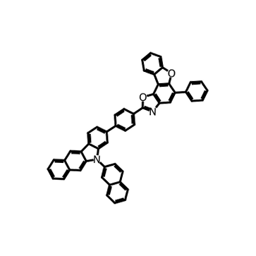 c1ccc(-c2cc3nc(-c4ccc(-c5ccc6c7cc8ccccc8cc7n(-c7ccc8ccccc8c7)c6c5)cc4)oc3c3c2oc2ccccc23)cc1